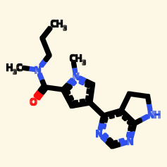 CCCN(C)C(=O)c1cc(-c2ncnc3c2CCN3)cn1C